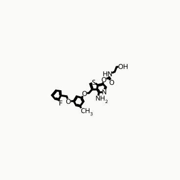 Cc1cc(OCc2ccccc2F)cc(OCc2csc3c(OC(=O)NCCO)cnc(N)c23)c1